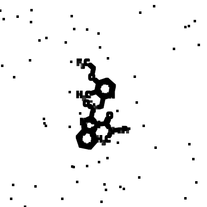 [CH2][CH]CN(C)C(=O)n1c([S+]([O-])Cc2nccc(OCC(F)(F)F)c2C)nc2ccccc21